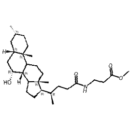 COC(=O)CCNC(=O)CC[C@@H](C)[C@H]1CCC2[C@H]3C(CC[C@@]21C)[C@@]1(C)CC[C@@H](C)C[C@H]1C[C@H]3O